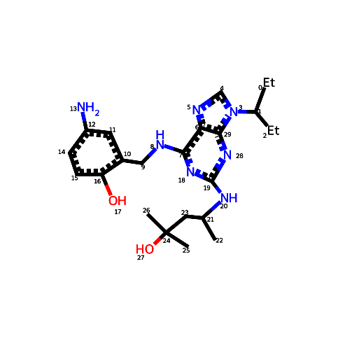 CCC(CC)n1cnc2c(NCc3cc(N)ccc3O)nc(NC(C)CC(C)(C)O)nc21